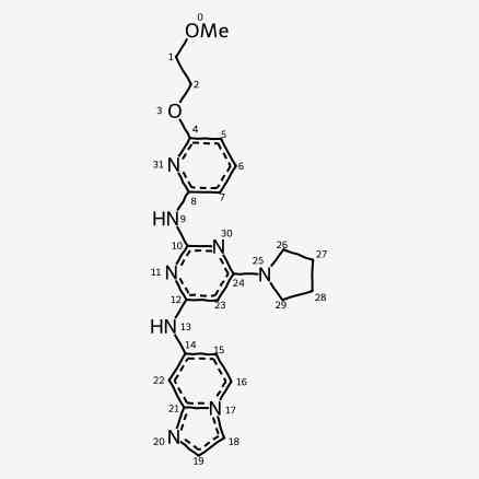 COCCOc1cccc(Nc2nc(Nc3ccn4ccnc4c3)cc(N3CCCC3)n2)n1